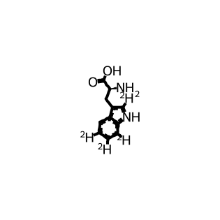 [2H]c1cc2c(C[C@H](N)C(=O)O)c([2H])[nH]c2c([2H])c1[2H]